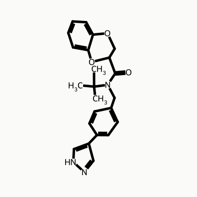 CC(C)(C)N(Cc1ccc(-c2cn[nH]c2)cc1)C(=O)C1COc2ccccc2O1